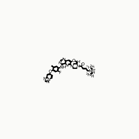 [2H]C([2H])([2H])N(C/C=C/C(=O)N1CCN2C[C@H]1COc1cc3ncnc(Nc4cc(C)c(Oc5ccn6ncnc6c5)cc4F)c3nc12)C([2H])([2H])[2H]